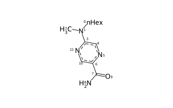 CCCCCCN(C)c1cnc(C(N)=O)cn1